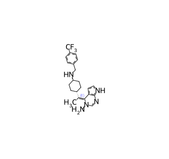 C/C(=C1/c2cc[nH]c2N=CN1N)[C@H]1CC[C@H](NCc2ccc(C(F)(F)F)cc2)CC1